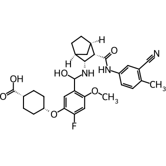 COc1cc(F)c(O[C@H]2CC[C@@H](C(=O)O)CC2)cc1C(O)N[C@@H]1[C@H]2CC[C@H](C2)[C@@H]1C(=O)Nc1ccc(C)c(C#N)c1